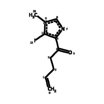 C=CCCC(=O)c1ncn(C)c1I